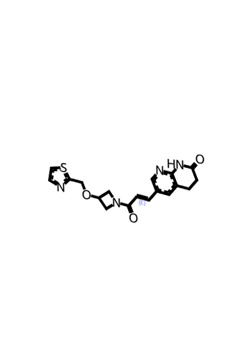 O=C1CCc2cc(/C=C/C(=O)N3CC(OCc4nccs4)C3)cnc2N1